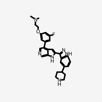 CN(C)CCOc1cc(F)cc(-c2cncc3[nH]c(-c4n[nH]c5ccc(C6CCNCC6)cc45)cc23)c1